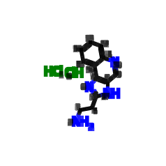 Cl.Cl.NCCc1nc2c(cnc3ccccc32)[nH]1